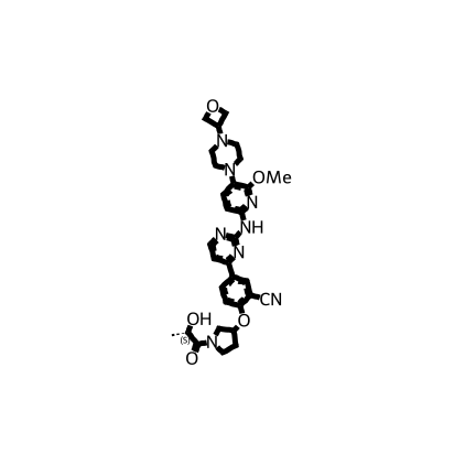 COc1nc(Nc2nccc(-c3ccc(OC4CCN(C(=O)[C@H](C)O)C4)c(C#N)c3)n2)ccc1N1CCN(C2COC2)CC1